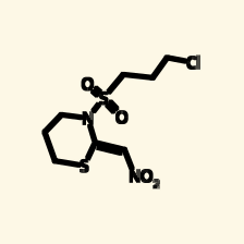 O=[N+]([O-])C=C1SCCCN1S(=O)(=O)CCCCl